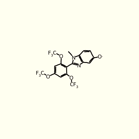 Cn1c(-c2c(OC(F)(F)F)cc(OC(F)(F)F)cc2OC(F)(F)F)nc2cc([O])ccc21